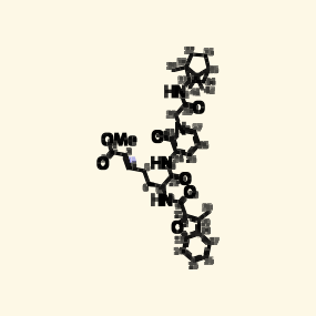 COC(=O)/C=C/CC[C@H](NC(=O)c1oc2ccccc2c1C)C(=O)Nc1cccn(CC(=O)NC2CC3CCC2(C)C3(C)C)c1=O